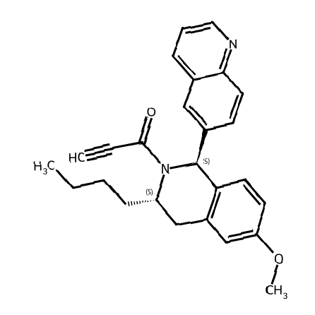 C#CC(=O)N1[C@@H](CCCC)Cc2cc(OC)ccc2[C@@H]1c1ccc2ncccc2c1